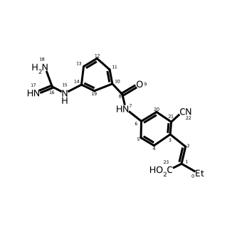 CCC(=Cc1ccc(NC(=O)c2cccc(NC(=N)N)c2)cc1C#N)C(=O)O